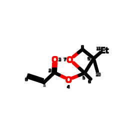 C=CC(=O)OC1(C)OCC1(C)CC